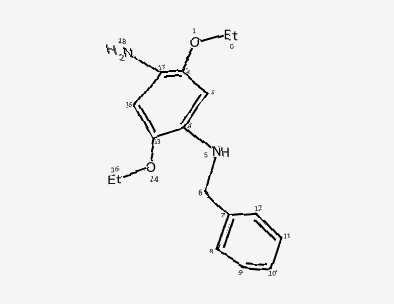 CCOc1cc(NCc2ccccc2)c(OCC)cc1N